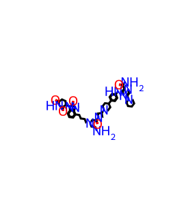 Cn1c(=O)n(C2CCC(=O)NC2=O)c2cccc(CCCCN(CCN)CC(=O)N3CC(N4CCC(c5ccc(Nc6nc(N7CCCCC7)cnc6C(N)=O)cc5)CC4)C3)c21